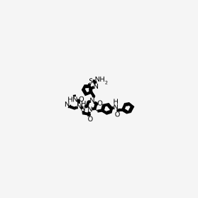 CNC(=O)N(CC#N)N1CC(=O)N2[C@@H](Cc3ccc(NC(=O)c4ccccc4)cc3)C(=O)N(Cc3cccc4sc(N)nc34)C[C@@H]21